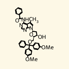 COc1ccc(C(OC[C@H]2O[C@H](n3cc(C)c4c(NC(=O)c5ccccc5)ncnc43)C[C@@H]2O)(c2ccccc2)c2ccc(OC)cc2)cc1